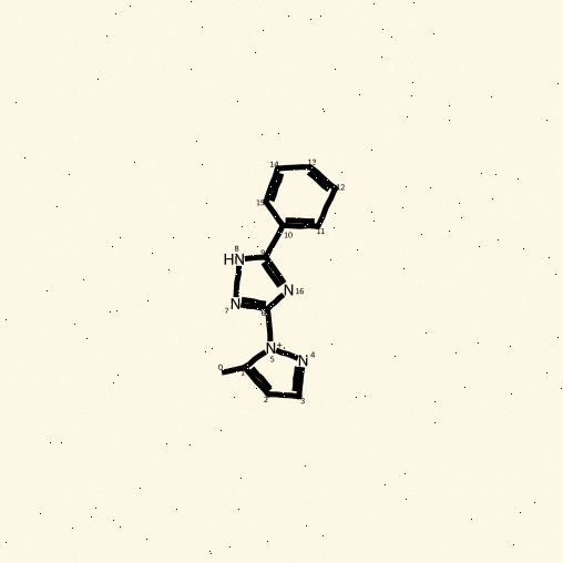 CC1=CC=N[N+]1c1n[nH]c(-c2ccccc2)n1